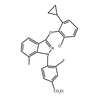 CCOC(=O)c1ccc(-n2nc(Oc3c(Cl)cccc3C3CC3)c3cccc(F)c32)c(F)c1